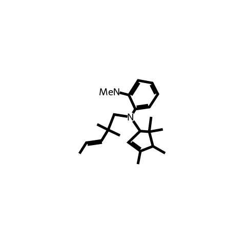 CC=CC(C)(C)CN(c1ccccc1NC)C1C=C(C)C(C)C1(C)C